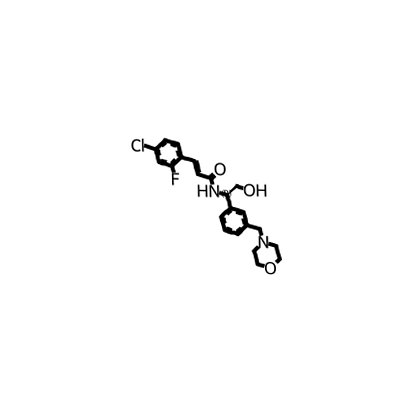 O=C(C=Cc1ccc(Cl)cc1F)N[C@@H](CO)c1cccc(CN2CCOCC2)c1